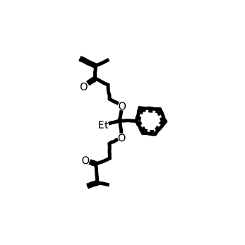 C=C(C)C(=O)CCOC(CC)(OCCC(=O)C(=C)C)c1ccccc1